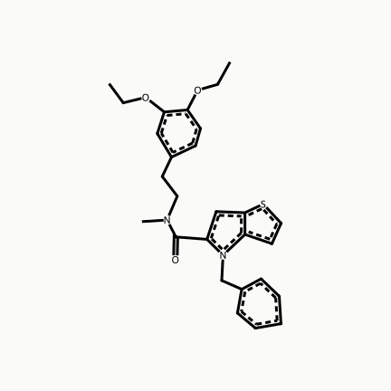 CCOc1ccc(CCN(C)C(=O)c2cc3sccc3n2Cc2ccccc2)cc1OCC